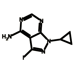 Nc1ncnc2c1c(I)nn2C1CC1